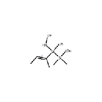 C/C=C(\C)[Si](CCC)(NC(C)C)[Si](C)(C)C(C)(C)C